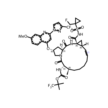 COc1ccc2c(O[C@@H]3C[C@H]4C(=O)N[C@]5(C(=O)NS(=O)(=O)C6(CF)CC6)C[C@@H]5/C=C\CCCC[C@@H](C)[C@H](NC(=O)OC(C)(C)C(F)(F)F)C(=O)N4C3)cc(-n3ccc(C(F)(F)F)n3)nc2c1